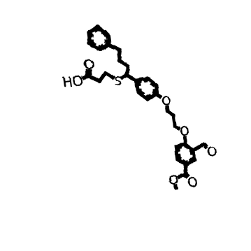 COC(=O)c1ccc(OCCCOc2ccc(C(CCCc3ccccc3)SCCC(=O)O)cc2)c(C=O)c1